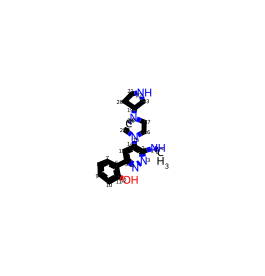 CNc1nnc(-c2ccccc2O)cc1N1CCN(C2CCNC2)CC1